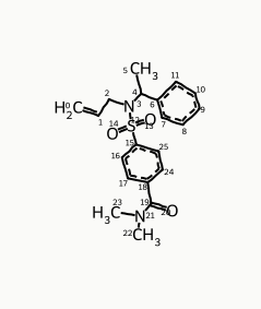 C=CCN(C(C)c1ccccc1)S(=O)(=O)c1ccc(C(=O)N(C)C)cc1